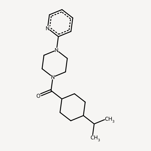 CC(C)C1CCC(C(=O)N2CCN(c3ccccn3)CC2)CC1